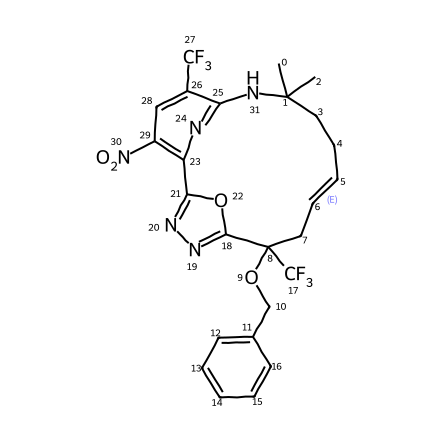 CC1(C)CC/C=C/CC(OCc2ccccc2)(C(F)(F)F)c2nnc(o2)-c2nc(c(C(F)(F)F)cc2[N+](=O)[O-])N1